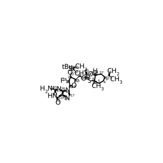 C=C(C)[C@@H]1CC[C@]2(C)S[P@@](=S)(OC[C@H]3O[C@@H](n4cnc5c(=O)[nH]c(N)nc54)[C@H](F)C3O[Si](C)(C)C(C)(C)C)O[C@H]2C1